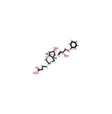 O=C(O)CCC[C@H]1CC[C@@H]2[C@@H](/C=C/[C@@H](O)COc3ccccc3)[C@H](O)C[C@@H]2OC1